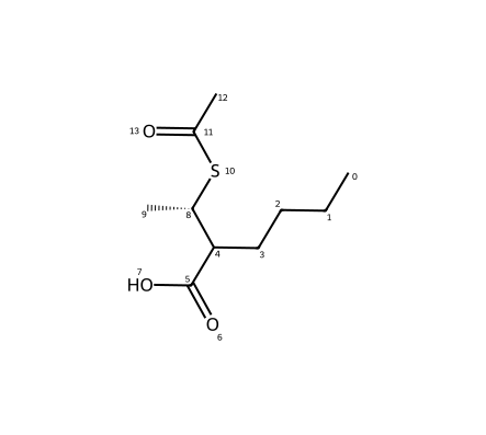 CCCCC(C(=O)O)[C@H](C)SC(C)=O